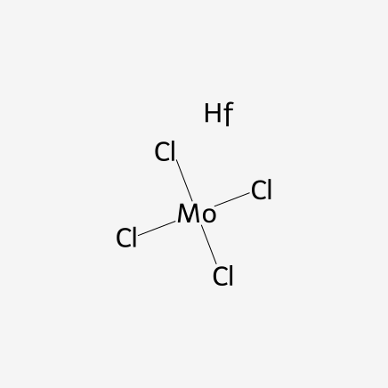 [Cl][Mo]([Cl])([Cl])[Cl].[Hf]